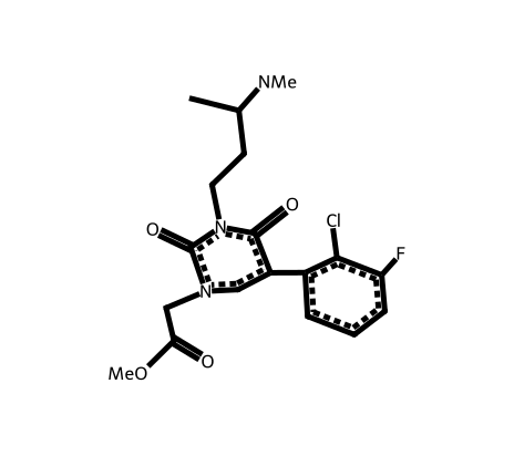 CNC(C)CCn1c(=O)c(-c2cccc(F)c2Cl)cn(CC(=O)OC)c1=O